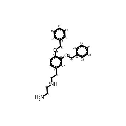 NCCNCCc1ccc(OCc2ccccc2)c(OCc2ccccc2)c1